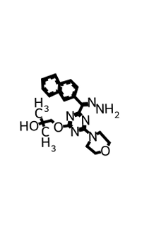 CC(C)(O)COc1nc(C(=NN)c2ccc3ccccc3c2)nc(N2CCOCC2)n1